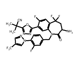 CC(C)(C#N)c1nnc(-c2cc3c(cc2F)C(F)(F)CC(N)C(=O)N3Cc2ccc(-n3cc(C(F)(F)F)cn3)c(F)c2)o1